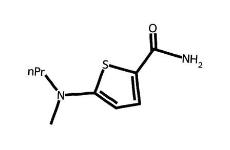 CCCN(C)c1ccc(C(N)=O)s1